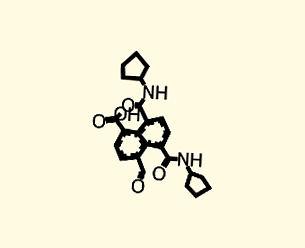 O=Cc1ccc(C(=O)O)c2c(C(=O)NC3CCCC3)ccc(C(=O)NC3CCCC3)c12